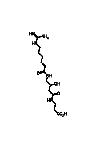 N=C(N)NCCCCCC(=O)NCC(O)CC(=O)NCCC(=O)O